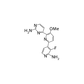 COc1ccc(-c2ccnc(N)c2F)nc1-c1ccnc(N)n1